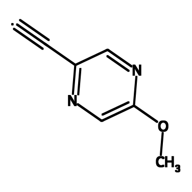 [C]#Cc1cnc(OC)cn1